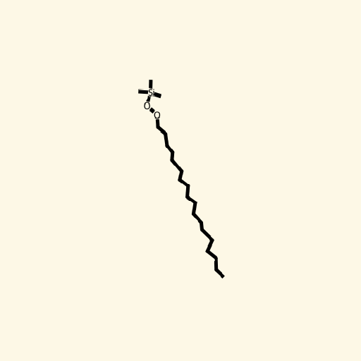 CCCCCCCCCCCCCCCCCCOO[Si](C)(C)C